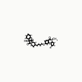 CN(C(=O)c1ccc(OCCCCC2CCN(C(=O)C(O)(c3ccccc3)C(F)(F)F)CC2)cc1Cl)[C@@H]1CC[C@H](I)C1